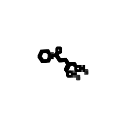 CC=C(C=CC(=O)N1CCCCC1)CC